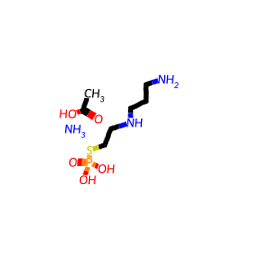 CC(=O)O.N.NCCCNCCSP(=O)(O)O